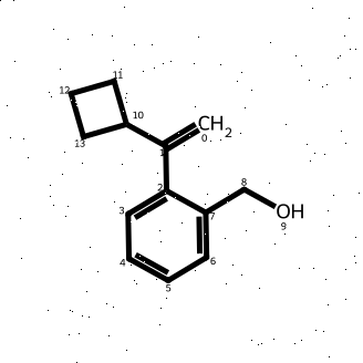 C=C(c1ccccc1CO)C1CCC1